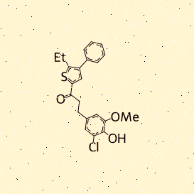 CCc1sc(C(=O)CCc2cc(Cl)c(O)c(OC)c2)cc1-c1ccccc1